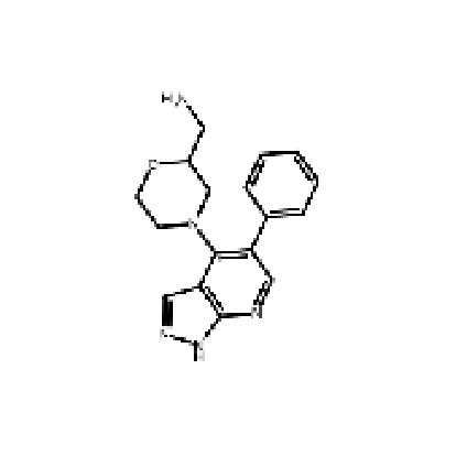 NCC1CN(c2c(-c3ccccc3)cnc3[nH]ncc23)CCO1